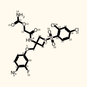 N#Cc1ccc(OCC2(NC(=O)COC(N)=O)CN(S(=O)(=O)c3ccc(Cl)cc3Cl)C2)cc1F